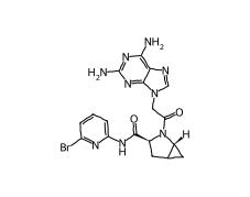 Nc1nc(N)c2ncn(CC(=O)N3[C@@H]4CC4C[C@H]3C(=O)Nc3cccc(Br)n3)c2n1